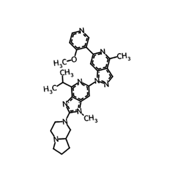 COc1ccncc1-c1cc2c(cnn2-c2cc3c(nc(N4CCN5CCCC5C4)n3C)c(C(C)C)n2)c(C)n1